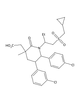 CCC(CS(=O)(=O)CC1CC1)N1C(=O)C(C)(CC(=O)O)CC(c2cccc(Cl)c2)C1c1ccc(Cl)cc1